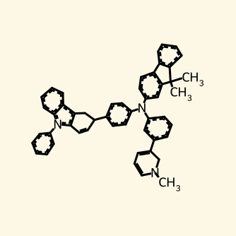 CN1C=CC=C(c2cccc(N(c3ccc(C4C=Cc5c(c6ccccc6n5-c5ccccc5)C4)cc3)c3ccc4c(c3)C(C)(C)c3ccccc3-4)c2)C1